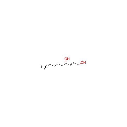 CCCCCC(O)C=CCO